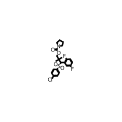 CC(C)(COC(=O)N1CCCC1)C(c1cc(F)ccc1F)S(=O)(=O)c1ccc(Cl)cc1